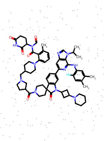 Cc1cc(F)c(Nc2nc(-c3ccc4c(c3)N(C3CC(N5CCCCC5)C3)C(=O)C43CCN(C(=O)C4CCN(CC5CCN(c6cccc(C)c6C(=O)N(C=O)C6CCC(=O)NC6=O)CC5)C4)CC3)cc3ncn(C(C)C)c23)cc1C